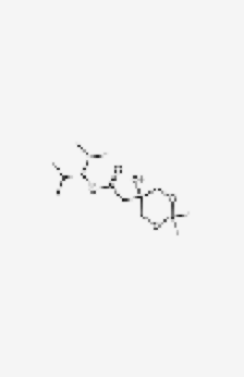 CC(C)C(OC(=O)CC1(O)COC(C)(C)OC1)C(C)C